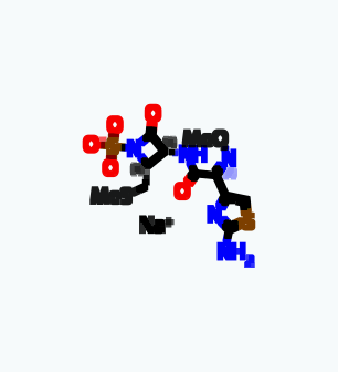 CO/N=C(\C(=O)N[C@H]1C(=O)N(S(=O)(=O)[O-])[C@H]1CSC)c1csc(N)n1.[Na+]